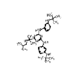 CC(O)CNC(C)(C)c1nc(Nc2cccc(NC(C)(C)C)c2)nc(Nc2cccc(NC(C)(C)C)c2)n1